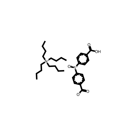 CCCC[N+](CCCC)(CCCC)CCCC.O=C([O-])c1ccc([S+]([O-])c2ccc(C(=O)O)cc2)cc1